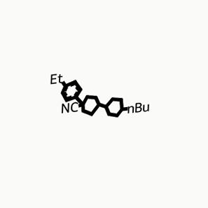 CCCCC1CCC(C2CCC(C#N)(c3ccc(CC)cc3)CC2)CC1